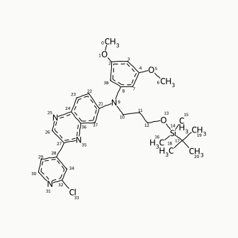 COc1cc(OC)cc(N(CCCO[Si](C)(C)C(C)(C)C)c2ccc3ncc(-c4ccnc(Cl)c4)nc3c2)c1